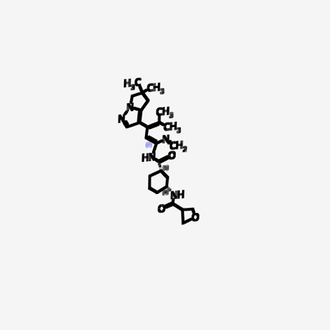 C=N/C(=C\C(=C(C)C)c1cnn2c1CC(C)(C)C2)NC(=O)[C@H]1CCC[C@@H](NC(=O)C2COC2)C1